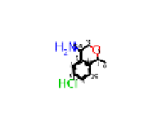 CC1OCC(N)c2ccccc21.Cl